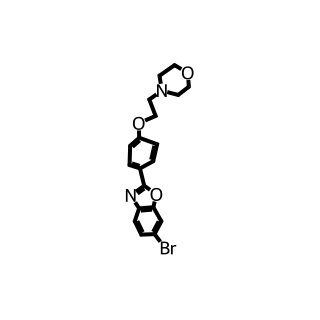 Brc1ccc2nc(-c3ccc(OCCN4CCOCC4)cc3)oc2c1